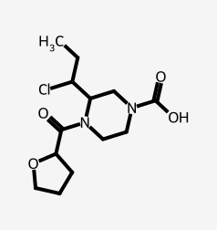 CCC(Cl)C1CN(C(=O)O)CCN1C(=O)C1CCCO1